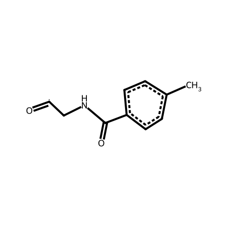 Cc1ccc(C(=O)NC[C]=O)cc1